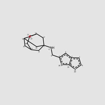 c1cc2cc(CNC34CC5CCC(CC(C5)C3)C4)sc2s1